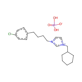 Clc1ccc(CCCCn2cc[n+](CC3CCCCC3)c2)cc1.O=P([O-])(O)O